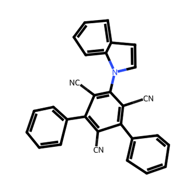 N#Cc1c(-c2ccccc2)c(C#N)c(-n2ccc3ccccc32)c(C#N)c1-c1ccccc1